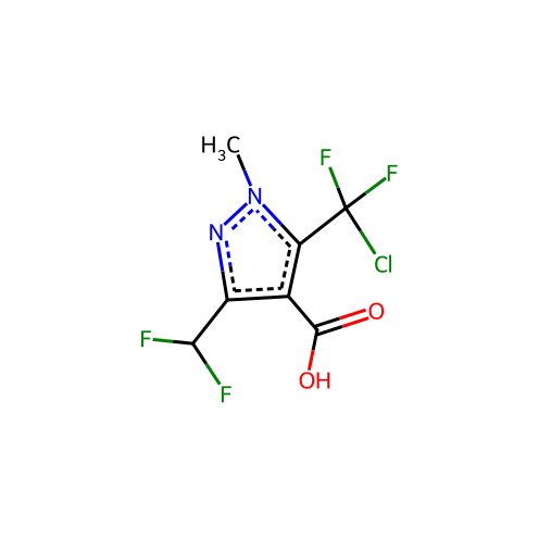 Cn1nc(C(F)F)c(C(=O)O)c1C(F)(F)Cl